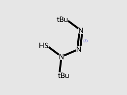 CC(C)(C)/N=N\N(S)C(C)(C)C